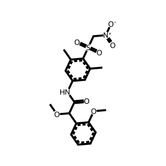 COc1ccccc1C(OC)C(=O)Nc1cc(C)c(S(=O)(=O)C[N+](=O)[O-])c(C)c1